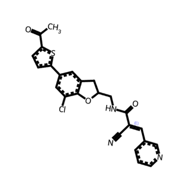 CC(=O)c1ccc(-c2cc(Cl)c3c(c2)CC(CNC(=O)/C(C#N)=C/c2cccnc2)O3)s1